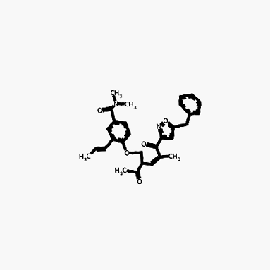 C/C=C/c1cc(C(=O)N(C)C)ccc1OCC(/C=C(/C)C(=O)c1cc(Cc2ccccc2)on1)C(C)=O